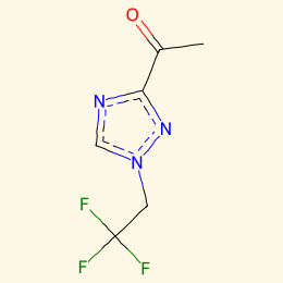 CC(=O)c1ncn(CC(F)(F)F)n1